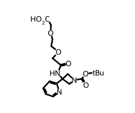 CC(C)(C)OC(=O)N1CC(NC(=O)COCCOCC(=O)O)(c2ccccn2)C1